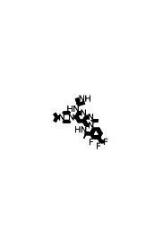 Cc1nc(N[C@H](C)c2cccc(C(F)F)c2F)c2cc(N3CCN(C(C)C)CC3)c(NC3CNC3)nc2n1